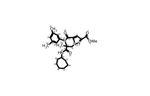 COC(=O)c1cc2n(n1)CC(C)(C(=O)NC1CCCCCC1)N(c1cc(C)cc(C)c1)C2=O